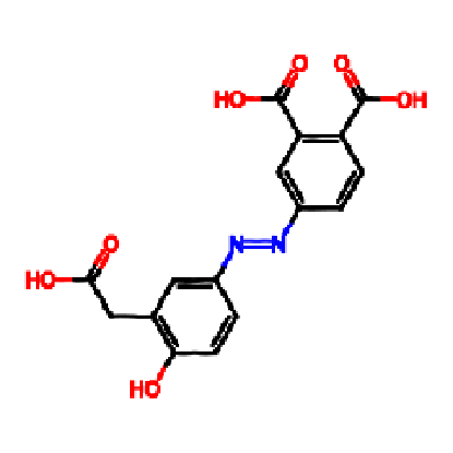 O=C(O)Cc1cc(N=Nc2ccc(C(=O)O)c(C(=O)O)c2)ccc1O